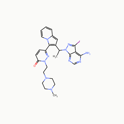 CC(c1cc2ccccn2c1-c1ccc(=O)n(CCN2CCN(C)CC2)n1)n1nc(I)c2c(N)ncnc21